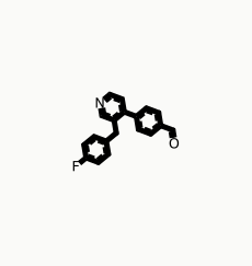 O=Cc1ccc(-c2ccncc2Cc2ccc(F)cc2)cc1